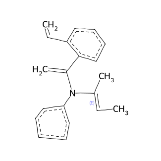 C=Cc1ccccc1C(=C)N(/C(C)=C/C)c1ccccc1